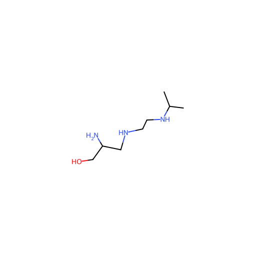 CC(C)NCCNCC(N)CO